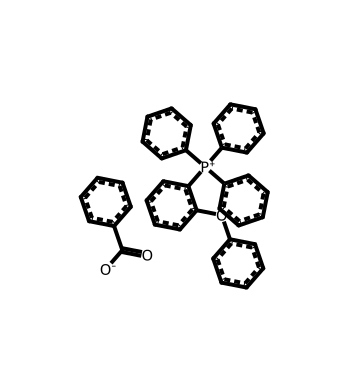 O=C([O-])c1ccccc1.c1ccc(Oc2ccccc2[P+](c2ccccc2)(c2ccccc2)c2ccccc2)cc1